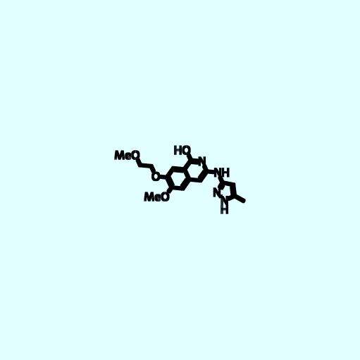 COCCOc1cc2c(O)nc(Nc3cc(C)[nH]n3)cc2cc1OC